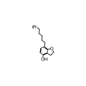 CC(C)CCCCCc1ccc(O)c2c1OCC2